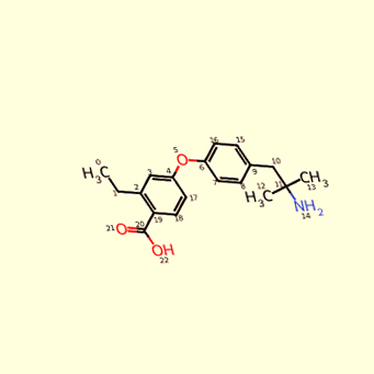 CCc1cc(Oc2ccc(CC(C)(C)N)cc2)ccc1C(=O)O